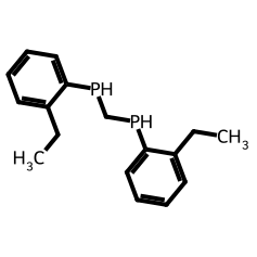 CCc1ccccc1PCPc1ccccc1CC